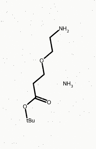 CC(C)(C)OC(=O)CCOCCN.N